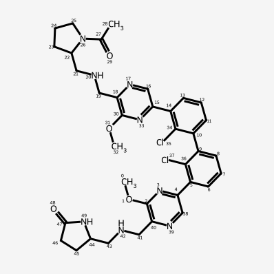 COc1nc(-c2cccc(-c3cccc(-c4cnc(CNCC5CCCN5C(C)=O)c(OC)n4)c3Cl)c2Cl)cnc1CNCC1CCC(=O)N1